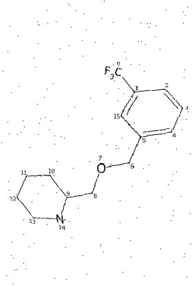 FC(F)(F)c1cccc(COCC2CCCC[N]2)c1